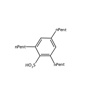 CCCCCc1cc(CCCCC)c(S(=O)(=O)O)c(CCCCC)c1